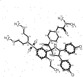 CCOc1ccc(S(=O)(=O)N(CCOC)CCOC)cc1C1(C(=O)N2CCN(CC(=O)N(C)C)CC2)NC(c2ccc(Cl)cc2)C(c2ccc(Cl)cc2)N1